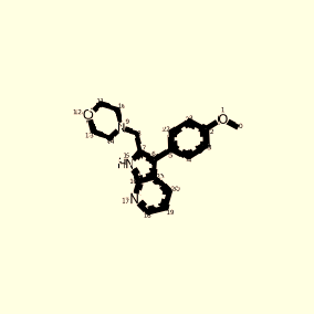 COc1ccc(-c2c(CN3CCOCC3)[nH]c3ncccc23)cc1